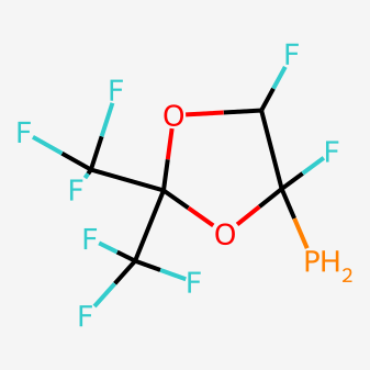 FC1OC(C(F)(F)F)(C(F)(F)F)OC1(F)P